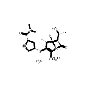 C[C@@H](O)[C@H]1C(=O)N2C(C(=O)O)=C(S[C@@H]3CN[C@H](C(=O)N(C)C)C3)[C@H](C)[C@H]12.O